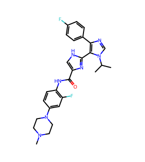 CC(C)n1cnc(-c2ccc(F)cc2)c1-c1nc(C(=O)Nc2ccc(N3CCN(C)CC3)cc2F)c[nH]1